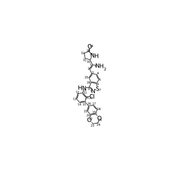 NC(=Cc1ccc2snc(Nc3cccc(-c4ccc5c(c4)OCCO5)c3Cl)c2c1)C1CCC(=O)N1